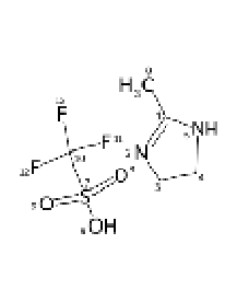 CC1=NCCN1.O=S(=O)(O)C(F)(F)F